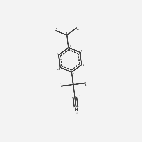 CC(C)c1ccc(C(C)(C)C#N)cc1